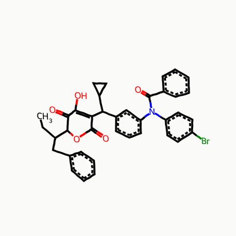 CCC(Cc1ccccc1)C1OC(=O)C(C(c2cccc(N(C(=O)c3ccccc3)c3ccc(Br)cc3)c2)C2CC2)=C(O)C1=O